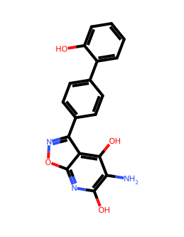 Nc1c(O)nc2onc(-c3ccc(-c4ccccc4O)cc3)c2c1O